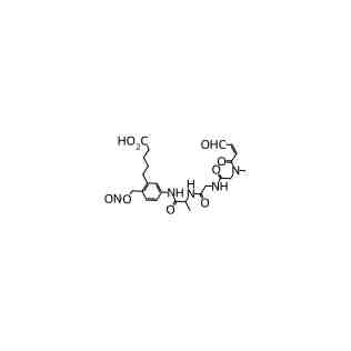 CC(NC(=O)CNC(=O)CN(C)C(=O)/C=C\C=O)C(=O)Nc1ccc(CON=O)c(CCCCC(=O)O)c1